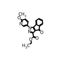 CCOC(=O)c1nn(-c2ccc(OC)nc2)c2c1C(=O)c1ccccc1-2